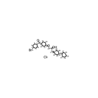 O=C(c1ccc(Br)cc1)c1ccc(OCC(O)C[n+]2ccc(-c3ccccc3)cc2)cc1.[Cl-]